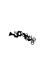 C[C@]1(CN2CCc3nc(C4CC4)ccc3C2)Cn2cc([N+](=O)[O-])nc2O1